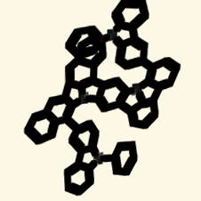 c1ccc(-n2c3ccccc3c3cc(-c4cccc5c6cccc7c8cc9c(cc8n(c45)c76)c4c5ccccc5cc5c6cc7ccccc7c(-c7ccc8c(c7)c7ccccc7n8-c7ccccc7)c6n9c54)ccc32)cc1